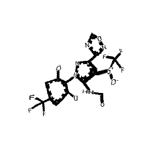 O=CNc1c([S+]([O-])C(F)(F)F)c(-c2ncon2)nn1-c1c(Cl)cc(C(F)(F)F)cc1Cl